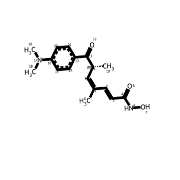 CC(C=CC(=O)NO)=C[C@@H](C)C(=O)c1ccc(N(C)C)cc1